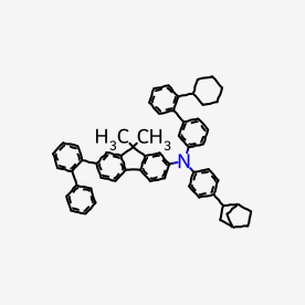 CC1(C)c2cc(-c3ccccc3-c3ccccc3)ccc2-c2ccc(N(c3ccc(C4CC5CCC4C5)cc3)c3cccc(-c4ccccc4C4CCCCC4)c3)cc21